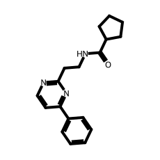 O=C(NCCc1nccc(-c2ccccc2)n1)C1CCCC1